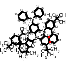 CC(c1ccc(C(C)(C)C)cc1)N1c2cc(N(c3ccccc3)c3ccccc3)cc3c2B(c2cc(C(C)(C)C)ccc2N3c2ccc(C(C)(C)C)cc2-c2ccccc2)c2oc3c(c21)C(C)(C)CCC3(C)C